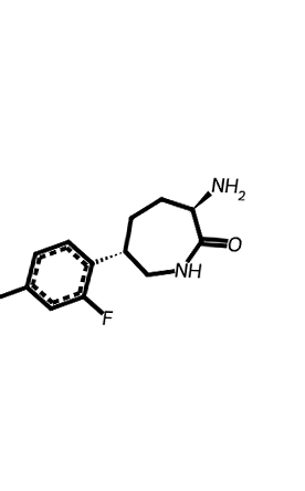 N[C@@H]1CC[C@@H](c2ccc(F)cc2F)CNC1=O